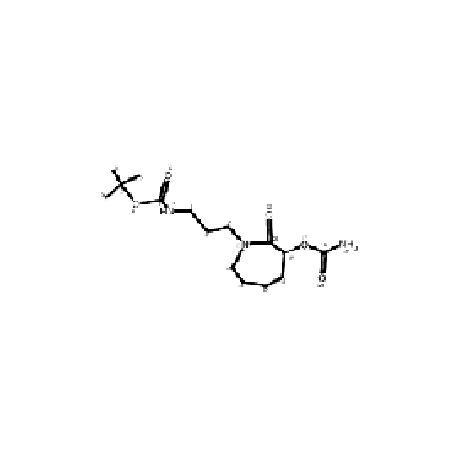 CC(C)(C)OC(=O)NCCCN1CCCC[C@H](OC(N)=O)C1=O